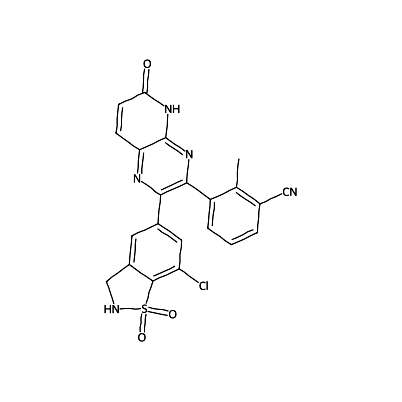 Cc1c(C#N)cccc1-c1nc2[nH]c(=O)ccc2nc1-c1cc(Cl)c2c(c1)CNS2(=O)=O